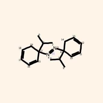 CC(C)C1(/N=N/C2(C(C)C)C=CC=CC2)C=CC=CC1